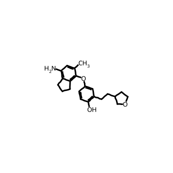 Cc1cc(N)c2c(c1Oc1ccc(O)c(CCC3CCOC3)c1)CCC2